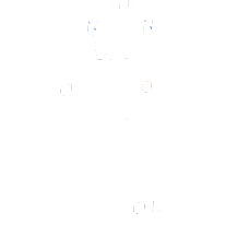 CCCCOc1nonc1Cl